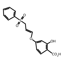 O=C(O)c1ccc(OC=CCS(=O)(=O)c2ccccc2)cc1O